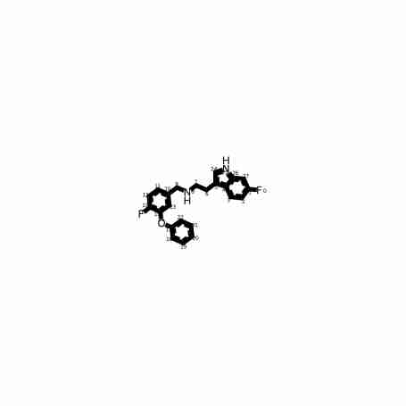 Fc1ccc2c(CCNCc3ccc(F)c(Oc4ccccc4)c3)c[nH]c2c1